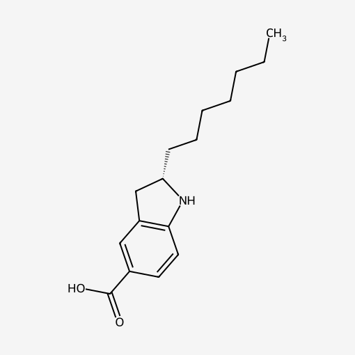 CCCCCCC[C@H]1Cc2cc(C(=O)O)ccc2N1